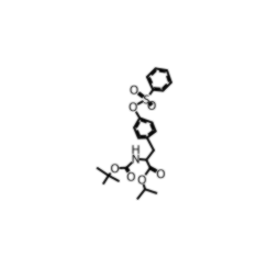 CC(C)OC(=O)C(Cc1ccc(OS(=O)(=O)c2ccccc2)cc1)NC(=O)OC(C)(C)C